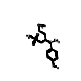 CCOC(=O)CCC(CS(N)(=O)=O)[C@H](C)c1ccc([N+](=O)[O-])cc1